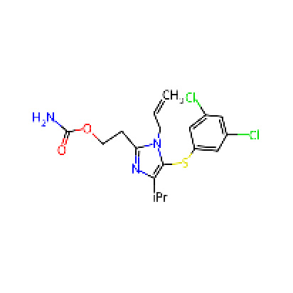 C=CCn1c(CCOC(N)=O)nc(C(C)C)c1Sc1cc(Cl)cc(Cl)c1